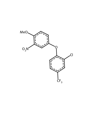 COc1ccc(Oc2ccc(C(F)(F)F)cc2Cl)cc1[N+](=O)[O-]